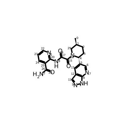 C[C@H]1CC[C@H](c2cnc3[nH]ncc3c2)N(C(=O)C(=O)Nc2ncccc2C(N)=O)C1